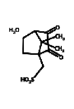 CC1(C)C2CCC1(CS(=O)(=O)O)C(=O)C2=O.O